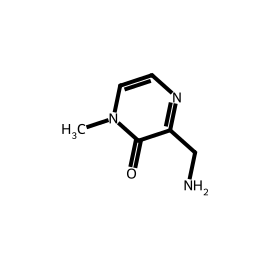 Cn1ccnc(CN)c1=O